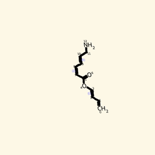 C=C/C=C/OC(=O)/C=C\C=C\CN